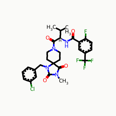 CC(C)[C@@H](NC(=O)c1cc(C(F)(F)F)ccc1F)C(=O)N1CCC2(CC1)C(=O)N(C)C(=O)N2Cc1cccc(Cl)c1